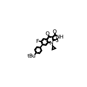 CC(C)(C)c1ccc(-c2cc3c(cc2F)c(=O)c2c(=O)[nH]sc2n3C2CC2)cc1